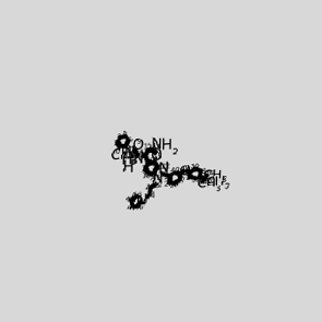 Cc1ccccc1NC(=O)NC(CC(N)=O)c1ccc2c(c1)nc(-c1cccc(Oc3ccc(C(C)(C)C)cc3)c1)n2CCCN1CCCC1